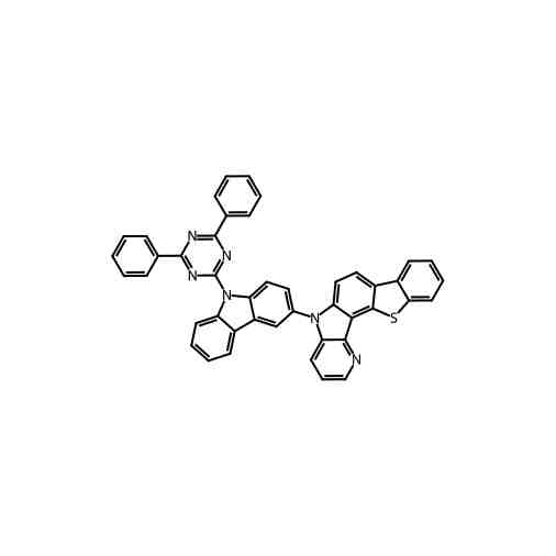 c1ccc(-c2nc(-c3ccccc3)nc(-n3c4ccccc4c4cc(-n5c6cccnc6c6c7sc8ccccc8c7ccc65)ccc43)n2)cc1